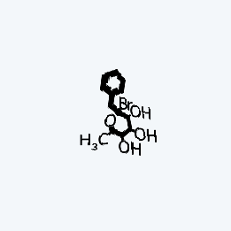 C[C@H]1OC(Br)(Cc2ccccc2)[C@H](O)[C@@H](O)[C@H]1O